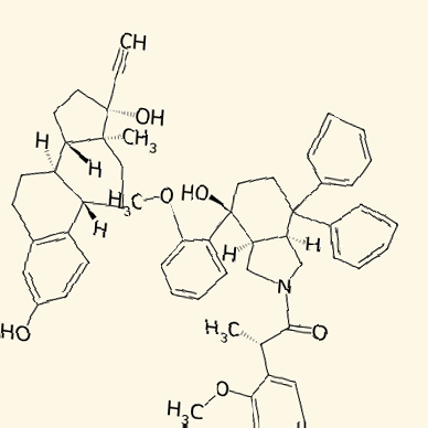 C#C[C@]1(O)CC[C@H]2[C@@H]3CCc4cc(O)ccc4[C@H]3CC[C@@]21C.COc1ccccc1[C@H](C)C(=O)N1C[C@@H]2[C@H](C1)C(c1ccccc1)(c1ccccc1)CC[C@@]2(O)c1ccccc1OC